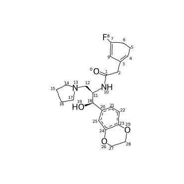 O=C(CC1=CCCC(F)=C1)N[C@H](CN1CCCC1)[C@H](O)c1ccc2c(c1)OCCO2